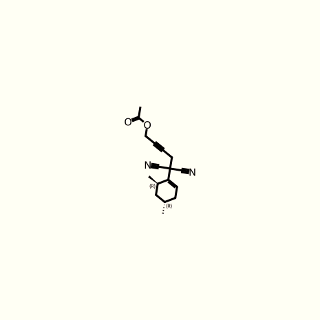 CC(=O)OCC#CCC(C#N)(C#N)C1=CC[C@H](C)C[C@H]1C